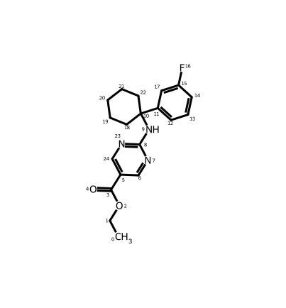 CCOC(=O)c1cnc(NC2(c3cccc(F)c3)CCCCC2)nc1